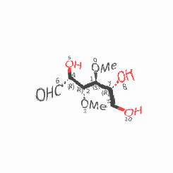 CO[C@H]([C@H](OC)[C@@H](O)C=O)[C@H](O)CO